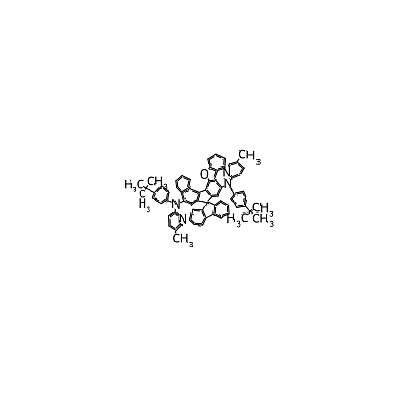 Cc1ccc(N(c2ccc(C(C)(C)C)cc2)c2cc3c(c4ccccc24)-c2c(cc(N(c4ccc(C(C)(C)C)cc4)c4ccc(C)cn4)c4c2oc2ccccc24)C32c3ccccc3-c3ccccc32)nc1